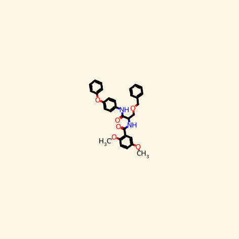 COc1ccc(OC)c(C(=O)NC(COCc2ccccc2)C(=O)Nc2ccc(Oc3ccccc3)cc2)c1